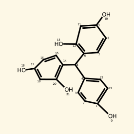 Oc1ccc(C(c2ccc(O)cc2O)c2ccc(O)cc2O)cc1